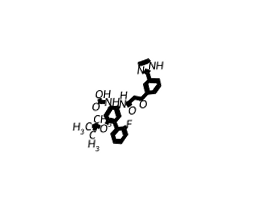 CC(C)(C)Oc1cc(NC(=O)O)c(NC(=O)CC(=O)c2cccc(-c3ncc[nH]3)c2)cc1-c1ccccc1F